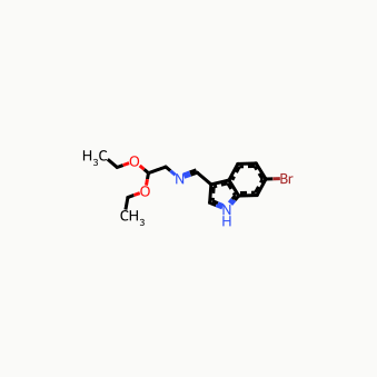 CCOC(CN=Cc1c[nH]c2cc(Br)ccc12)OCC